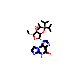 CC[C@H]1O[C@@H](n2cnc3c(=O)[nH]c4nccn4c32)[C@H](O[Si](C(C)C)(C(C)C)C(C)C)[C@@H]1O